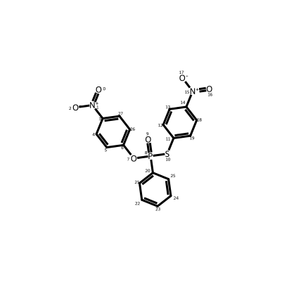 O=[N+]([O-])c1ccc(OP(=O)(Sc2ccc([N+](=O)[O-])cc2)c2ccccc2)cc1